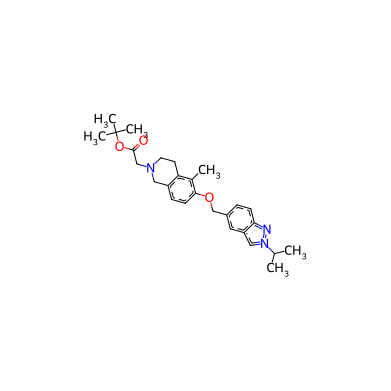 Cc1c(OCc2ccc3nn(C(C)C)cc3c2)ccc2c1CCN(CC(=O)OC(C)(C)C)C2